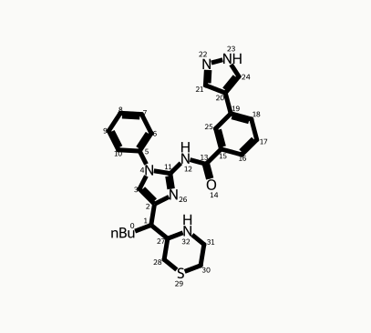 CCCCC(c1cn(-c2ccccc2)c(NC(=O)c2cccc(-c3cn[nH]c3)c2)n1)C1CSCCN1